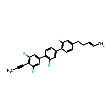 C/C=C/CCc1ccc(-c2ccc(-c3cc(F)c(C#CC(F)(F)F)c(F)c3)c(F)c2)c(F)c1